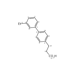 CCc1cccc(-c2ccc(CCC(=O)O)cc2)c1